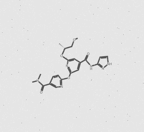 COC[C@@H](C)Oc1cc(C(=O)Nc2cc[nH]n2)cc(Oc2ccc(C(=O)N(C)C)cn2)n1